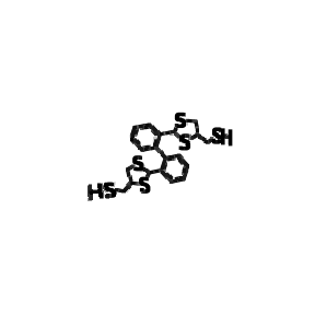 SCC1CSC(c2ccccc2-c2ccccc2C2SCC(CS)S2)S1